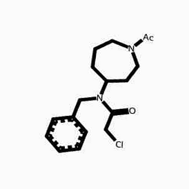 CC(=O)N1CCCC(N(Cc2ccccc2)C(=O)CCl)CC1